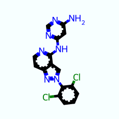 Nc1cc(Nc2nccc3nn(-c4c(Cl)cccc4Cl)cc23)ncn1